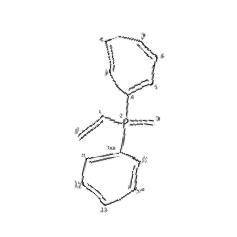 C=CP(=C)(c1ccccc1)c1ccccc1